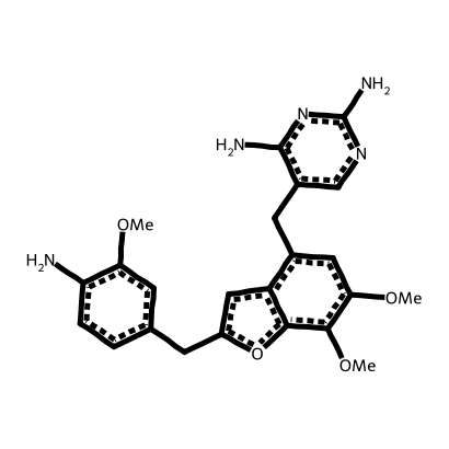 COc1cc(Cc2cc3c(Cc4cnc(N)nc4N)cc(OC)c(OC)c3o2)ccc1N